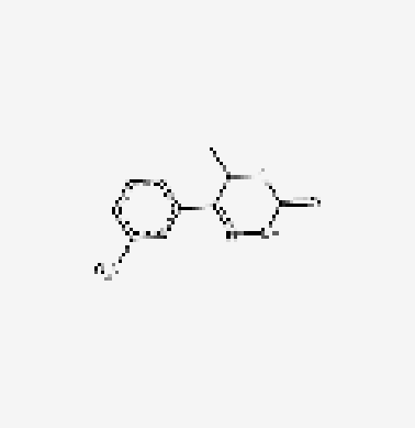 CC1SC(=O)NN=C1c1cccc([N+](=O)[O-])c1